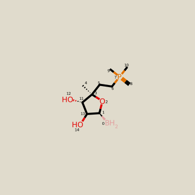 B[C@@H]1O[C@](C)(CCP(=C)(C)C)[C@@H](O)C1O